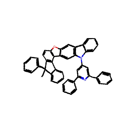 CC1(c2ccccc2)c2ccccc2-c2c1ccc1oc3cc4c5ccccc5n(-c5cc(-c6ccccc6)nc(-c6ccccc6)c5)c4cc3c21